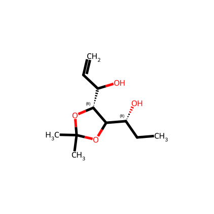 C=CC(O)[C@H]1OC(C)(C)OC1[C@H](O)CC